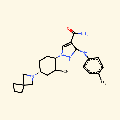 N#CC1C[C@H](N2CC3(CCC3)C2)CC[C@@H]1N1C=C(C(N)=O)C(Nc2ccc(C(F)(F)F)cc2)N1